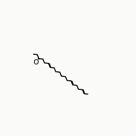 CC=CCCC=CCCCCCCC=CCCC(=O)CC